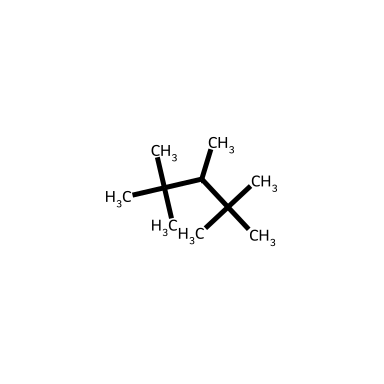 C[C](C(C)(C)C)C(C)(C)C